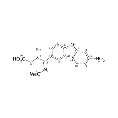 CON=C(c1ccc2oc3cc([N+](=O)[O-])ccc3c2c1)C(F)CC(=O)O